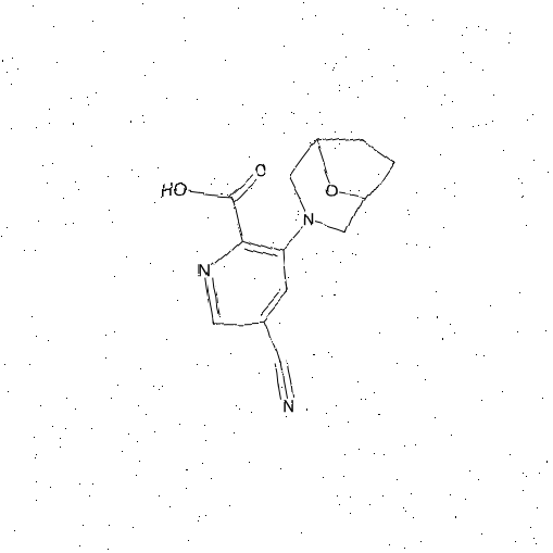 N#Cc1cnc(C(=O)O)c(N2CC3CCC(C2)O3)c1